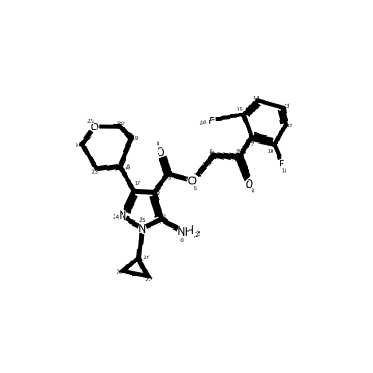 Nc1c(C(=O)OCC(=O)c2c(F)cccc2F)c(C2CCOCC2)nn1C1CC1